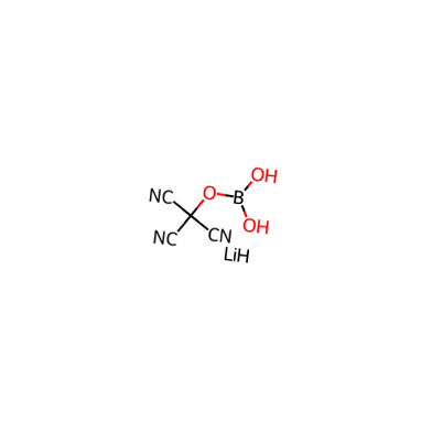 N#CC(C#N)(C#N)OB(O)O.[LiH]